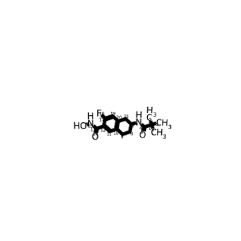 CC(C)(C)C(=O)NC1CCc2cc(C(=O)NO)c(F)cc2C1